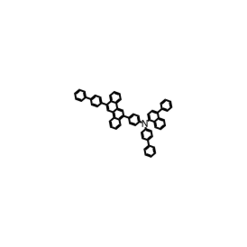 c1ccc(-c2ccc(-c3cc4c5ccccc5c(-c5ccc(N(c6ccc(-c7ccccc7)cc6)c6ccc(-c7ccccc7)c7ccccc67)cc5)cc4c4ccccc34)cc2)cc1